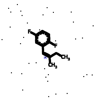 CC/C(C)=C\c1cc(F)ccc1F